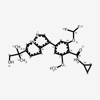 COc1cc(-c2cnn3cc(C(C)(C)CO)ccc23)cc(OC(F)F)c1C(=O)NC1CC1